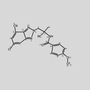 CC(C#N)(Cn1nc2cc(Cl)cc(C#N)c2n1)NC(=O)c1ccc(OC(F)(F)F)cc1